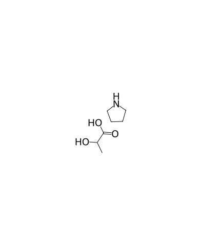 C1CCNC1.CC(O)C(=O)O